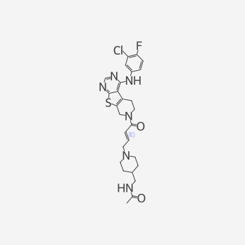 CC(=O)NCC1CCN(C/C=C/C(=O)N2CCc3c(sc4ncnc(Nc5ccc(F)c(Cl)c5)c34)C2)CC1